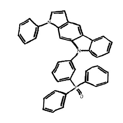 O=P(c1ccccc1)(c1ccccc1)c1cccc(-n2c3ccccc3c3cc4ccn(-c5ccccc5)c4cc32)c1